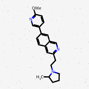 COc1ccc(-c2ccc3cc(CCN4CCCC4C)ncc3c2)cn1